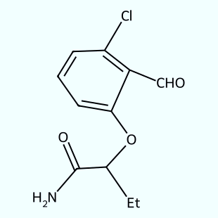 CCC(Oc1cccc(Cl)c1C=O)C(N)=O